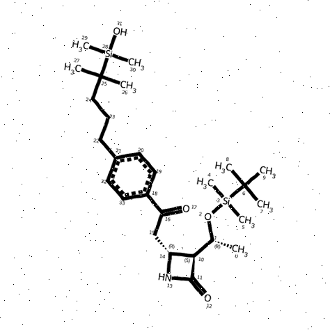 C[C@@H](O[Si](C)(C)C(C)(C)C)[C@H]1C(=O)N[C@@H]1CC(=O)c1ccc(CCCC(C)(C)[Si](C)(C)O)cc1